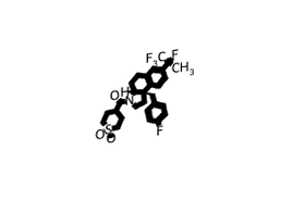 CC(F)(c1ccc2c(c1)CC[C@H]1N(C(=O)C3CCS(=O)(=O)CC3)CC[C@@]21Cc1ccc(F)cc1)C(F)(F)F